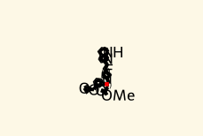 COC(=O)C[C@H](CN1CC[C@@](F)(CCc2ccc3c(n2)NCCC3)C1)c1cccc(OC2COC2)c1